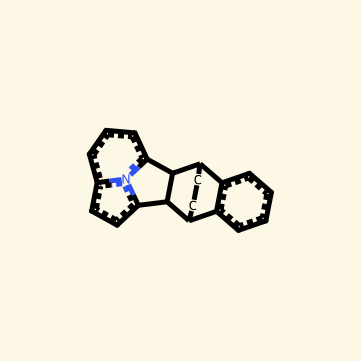 c1ccc2c(c1)C1CCC2C2c3ccc4cccc(n34)C12